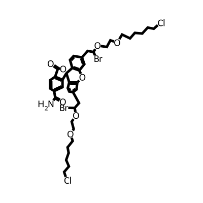 NC(=O)c1ccc2c(c1)C1(OC2=O)c2ccc(CC(Br)OCCOCCCCCCCl)cc2Oc2cc(CC(Br)OCCOCCCCCCCl)ccc21